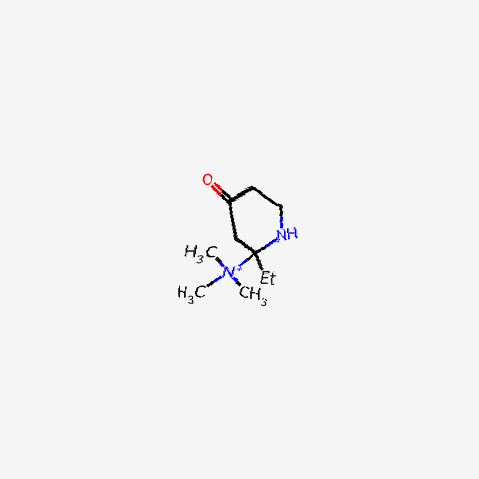 CCC1([N+](C)(C)C)CC(=O)CCN1